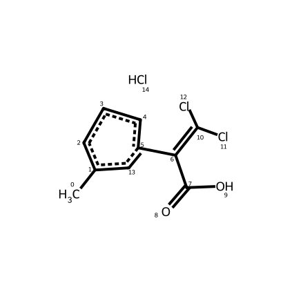 Cc1cccc(C(C(=O)O)=C(Cl)Cl)c1.Cl